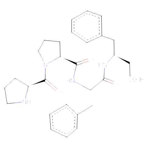 O=C(O)C[C@H](Cc1ccccc1)NC(=O)[C@H](Cc1ccccc1)NC(=O)[C@@H]1CCCN1C(=O)[C@@H]1CCCN1